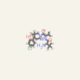 CC(C)[C@@H](NC(=O)[C@H](N)C(C)(C)C)C(=O)N1CC[C@](O)(c2ccc(Cl)cc2)C(C)(C)C1